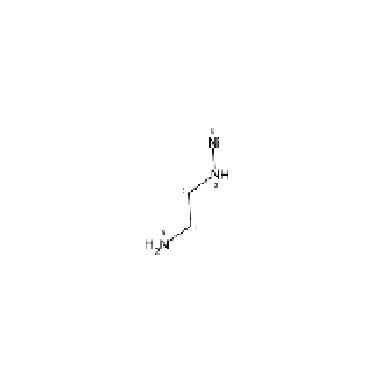 NCC[NH][Ni]